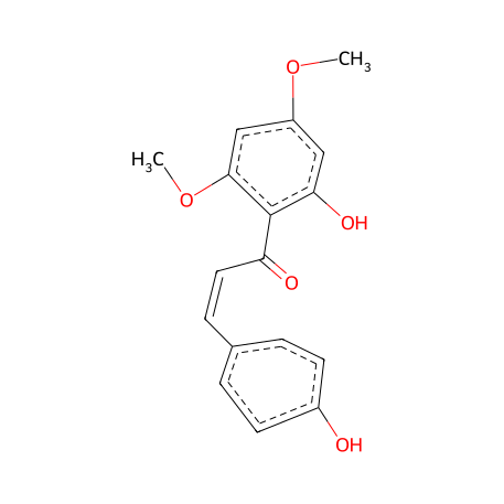 COc1cc(O)c(C(=O)/C=C\c2ccc(O)cc2)c(OC)c1